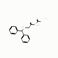 C[C@H](NC(c1ccccc1)c1ccccc1)C(=O)NC(=O)OC(C)(C)C